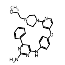 COCCN1CCN(c2cc(Oc3ccc(Nc4cc(-c5ccccc5)nc(N)n4)cc3)ccn2)CC1